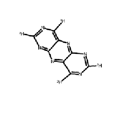 [2H]c1nc([2H])c2nc3nc([2H])nc([2H])c3nc2n1